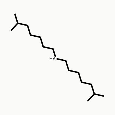 CC(C)CCCC[CH2][AlH][CH2]CCCCC(C)C